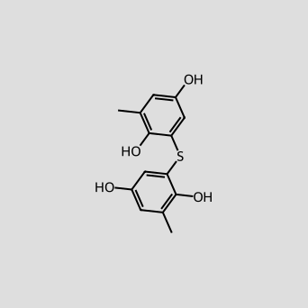 Cc1cc(O)cc(Sc2cc(O)cc(C)c2O)c1O